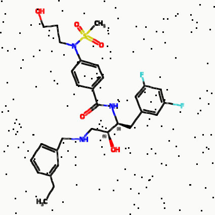 CCc1cccc(CNC[C@H](O)[C@H](Cc2cc(F)cc(F)c2)NC(=O)c2ccc(N(CCCO)S(C)(=O)=O)cc2)c1